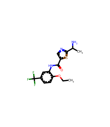 CCOc1ccc(C(F)(F)F)cc1NC(=O)c1cnc(C(C)N)s1